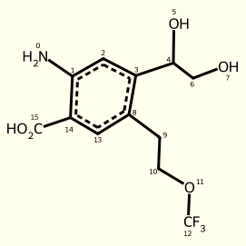 Nc1cc(C(O)CO)c(CCOC(F)(F)F)cc1C(=O)O